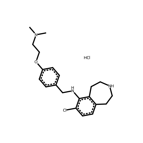 CN(C)CCOc1ccc(CNc2c(Cl)ccc3c2CCNCC3)cc1.Cl